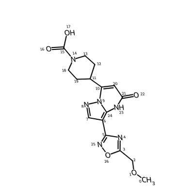 COCc1nc(-c2cnn3c(C4CCN(C(=O)O)CC4)cc(=O)[nH]c23)no1